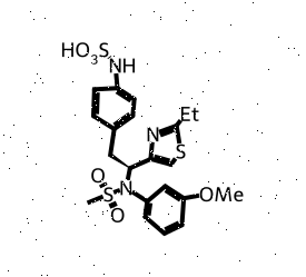 CCc1nc([C@H](Cc2ccc(NS(=O)(=O)O)cc2)N(c2cccc(OC)c2)S(C)(=O)=O)cs1